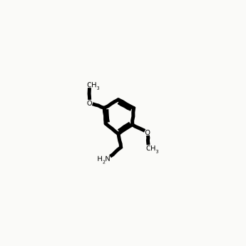 COc1ccc(OC)c(CN)c1